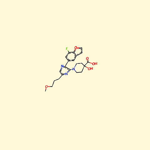 COCCCc1cnc(-c2cc(F)c3occc3c2)c(N2CCC(O)(C(=O)O)CC2)n1